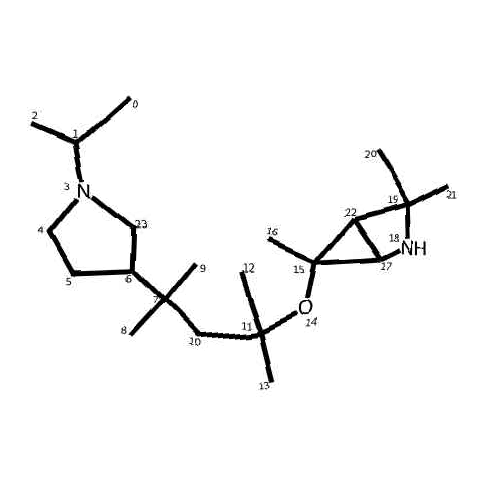 CC(C)N1CCC(C(C)(C)CC(C)(C)OC2(C)C3NC(C)(C)C32)C1